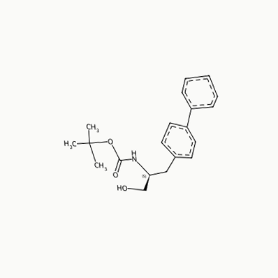 CC(C)(C)OC(=O)N[C@H](CO)Cc1ccc(-c2ccccc2)cc1